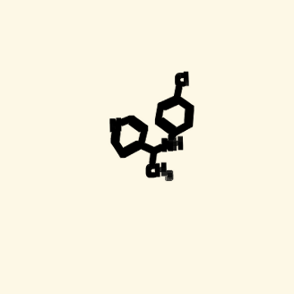 CC(Nc1ccc(Cl)cc1)c1ccncc1